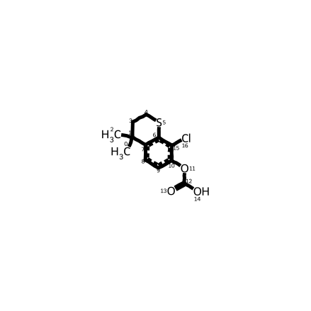 CC1(C)CCSc2c1ccc(OC(=O)O)c2Cl